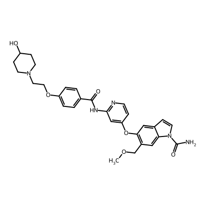 COCc1cc2c(ccn2C(N)=O)cc1Oc1ccnc(NC(=O)c2ccc(OCCN3CCC(O)CC3)cc2)c1